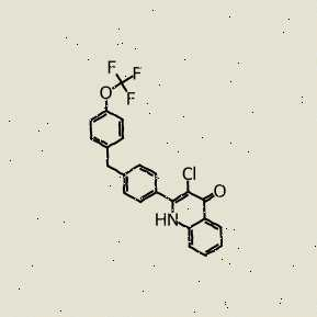 O=c1c(Cl)c(-c2ccc(Cc3ccc(OC(F)(F)F)cc3)cc2)[nH]c2ccccc12